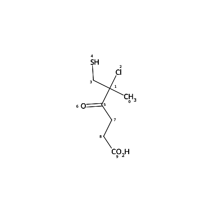 CC(Cl)(CS)C(=O)CCC(=O)O